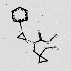 CC(C)(C)OC(=O)N(CC1(CN)CC1)[C@@H]1C[C@H]1c1ccccc1